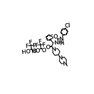 CN1CCN(C2CCN(C(=O)[C@@H](NC(=O)Nc3ccc(Cl)cc3)c3cccs3)CC2)CC1.O=C(O)C(F)(F)F.O=C(O)C(F)(F)F